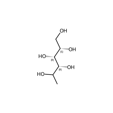 CC(O)[C@@H](O)[C@H](O)[C@@H](O)CO